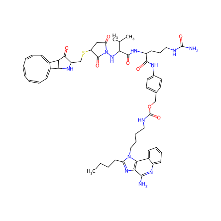 CCCCc1nc2c(N)nc3ccccc3c2n1CCCCNC(=O)OCc1ccc(NC(=O)C(CCCNC(N)=O)NC(=O)C(NN2C(=O)CC(SCC3NC4c5ccccccccc5C4C3=O)C2=O)C(C)C)cc1